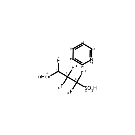 CCCCCCC(F)C(F)(F)C(F)(F)S(=O)(=O)O.c1ccncc1